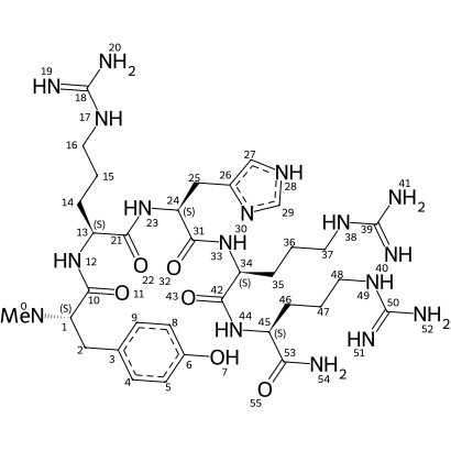 CN[C@@H](Cc1ccc(O)cc1)C(=O)N[C@@H](CCCNC(=N)N)C(=O)N[C@@H](Cc1c[nH]cn1)C(=O)N[C@@H](CCCNC(=N)N)C(=O)N[C@@H](CCCNC(=N)N)C(N)=O